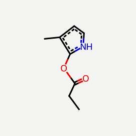 CCC(=O)Oc1[nH]ccc1C